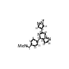 CNCc1ccc(-c2nc(-c3cnn(C)c3)cn3nccc23)cc1